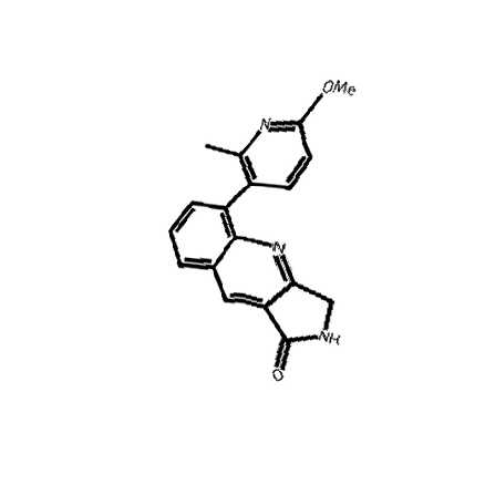 COc1ccc(-c2cccc3cc4c(nc23)CNC4=O)c(C)n1